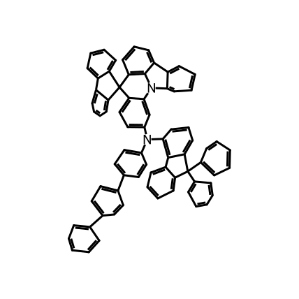 c1ccc(-c2ccc(-c3ccc(N(c4ccc5c(c4)-n4c6ccccc6c6cccc(c64)C54c5ccccc5-c5ccccc54)c4cccc5c4-c4ccccc4C5(c4ccccc4)c4ccccc4)cc3)cc2)cc1